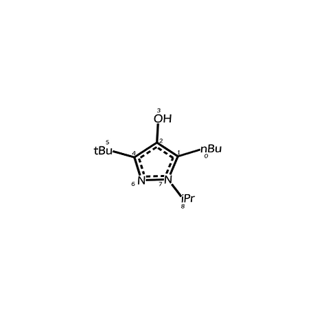 CCCCc1c(O)c(C(C)(C)C)nn1C(C)C